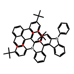 CC(C)(C)c1ccc(N(c2ccccc2-c2cccc3cccc(-c4cc(C(C)(C)C)cc(C(C)(C)C)c4)c23)c2ccccc2-c2cccc3c2c2ccccc2n3-c2ccccc2)cc1